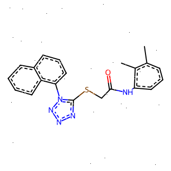 Cc1cccc(NC(=O)CSc2nnnn2-c2cccc3ccccc23)c1C